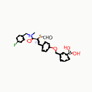 CN(Cc1ccc(F)cc1)C(=O)/C(=C/c1ccc(OCc2cccc(B(O)O)c2)cc1)SC=O